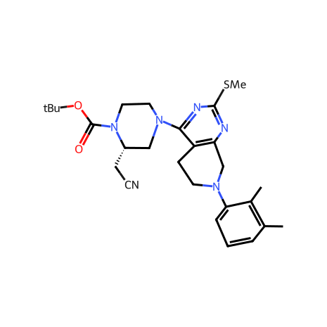 CSc1nc2c(c(N3CCN(C(=O)OC(C)(C)C)[C@@H](CC#N)C3)n1)CCN(c1cccc(C)c1C)C2